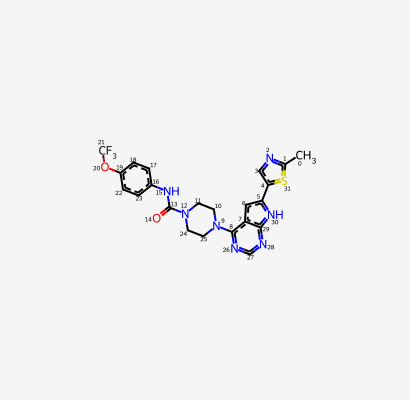 Cc1ncc(-c2cc3c(N4CCN(C(=O)Nc5ccc(OC(F)(F)F)cc5)CC4)ncnc3[nH]2)s1